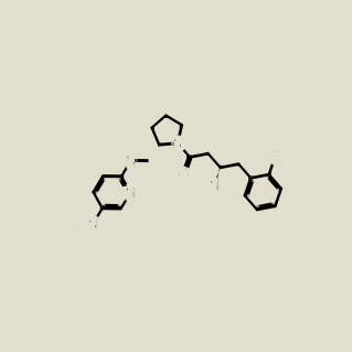 Nc1ccc(NC[C@@H]2CCCN2C(=O)C[C@H](N)Cc2ccccc2F)nc1